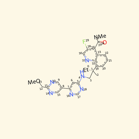 CC[C@](C)(CNc1cc(-c2cnc(COC)nc2)ncn1)c1cccc2c(C(=O)NC)c(F)cnc12